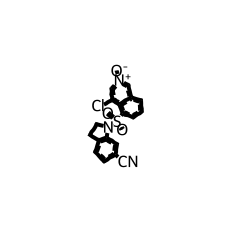 N#Cc1ccc2c(c1)N(S(=O)(=O)c1cccc3c[n+]([O-])cc(Cl)c13)CC2